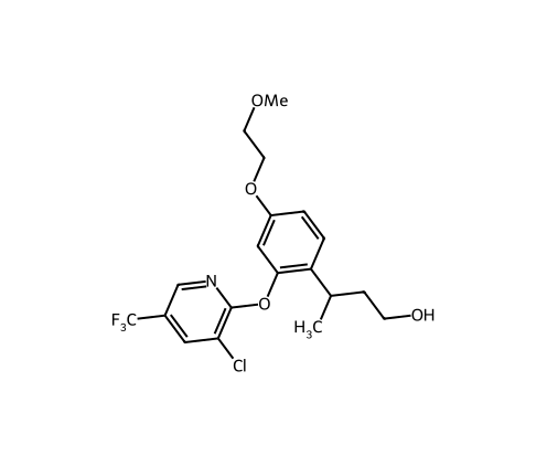 COCCOc1ccc(C(C)CCO)c(Oc2ncc(C(F)(F)F)cc2Cl)c1